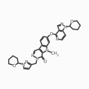 Cn1c2cc(Oc3nccc4c3cnn4C3CCCCO3)ccc2c2cnn(Cc3ccn(C4CCCCO4)n3)c(=O)c21